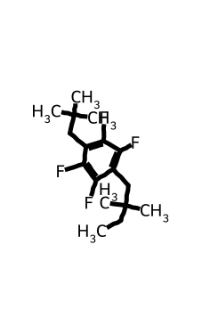 CCC(C)(C)Cc1c(F)c(F)c(CC(C)(C)C)c(F)c1F